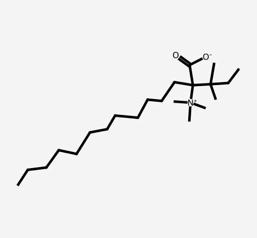 CCCCCCCCCCCCC(C(=O)[O-])(C(C)(C)CC)[N+](C)(C)C